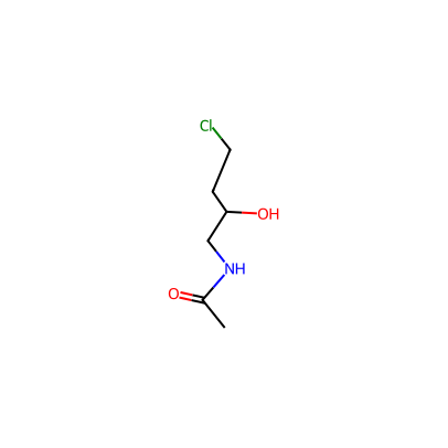 CC(=O)NCC(O)CCCl